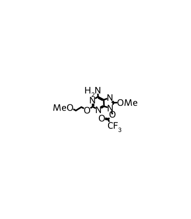 COCCOc1nc(N)c2nc(OC)n(OC(=O)C(F)(F)F)c2n1